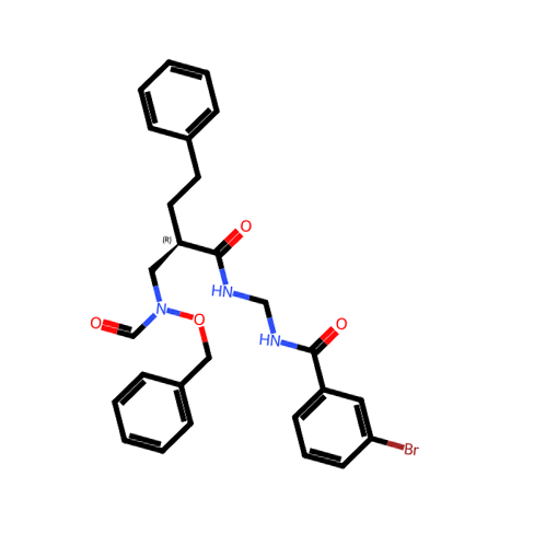 O=CN(C[C@@H](CCc1ccccc1)C(=O)NCNC(=O)c1cccc(Br)c1)OCc1ccccc1